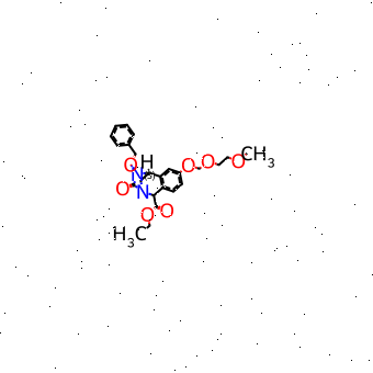 CCOC(=O)C1c2ccc(OCOCCOC)cc2[C@H]2CN1C(=O)N2OCc1ccccc1